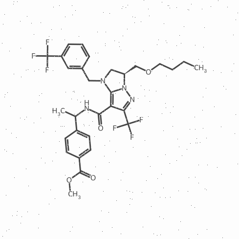 CCCCOC[C@@H]1CN(Cc2cccc(C(F)(F)F)c2)c2c(C(=O)NC(C)c3ccc(C(=O)OC)cc3)c(C(F)(F)F)nn21